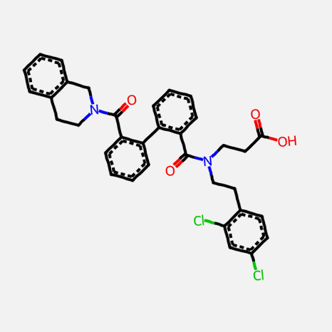 O=C(O)CCN(CCc1ccc(Cl)cc1Cl)C(=O)c1ccccc1-c1ccccc1C(=O)N1CCc2ccccc2C1